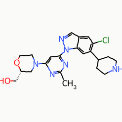 Cc1nc(N2CCO[C@@H](CO)C2)cc(-n2ncc3cc(Cl)c(C4CCNCC4)cc32)n1